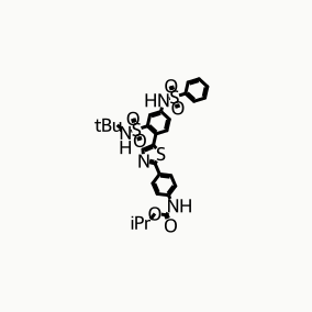 CC(C)OC(=O)Nc1ccc(-c2ncc(-c3ccc(NS(=O)(=O)c4ccccc4)cc3S(=O)(=O)NC(C)(C)C)s2)cc1